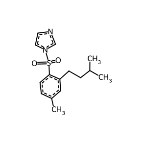 Cc1ccc(S(=O)(=O)n2ccnc2)c(CCC(C)C)c1